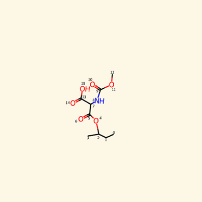 CCC(C)OC(=O)C(NC(=O)OC)C(=O)O